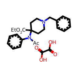 CCOC(=O)C1(N(C(C)=O)c2ccccc2)CCN(Cc2ccccc2)CC1.O=C(O)C(=O)O